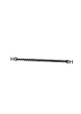 OCCCCCCCCCCCCCCCCCCCCCCCCCCCCCCCCCCCCCCCCCCCCCCCCCCCCCCCCO